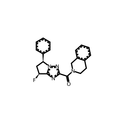 O=C(c1nc2n(n1)[C@H](c1ccccc1)C[C@@H]2F)N1CCc2ccccc2C1